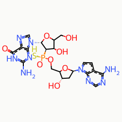 Nc1nc2c(ncn2[C@@H]2OC(CO)[C@@H](O)[C@H]2[P@](=O)(S)OCC2O[C@@H](n3ccc4c(N)ncnc43)C[C@@H]2O)c(=O)[nH]1